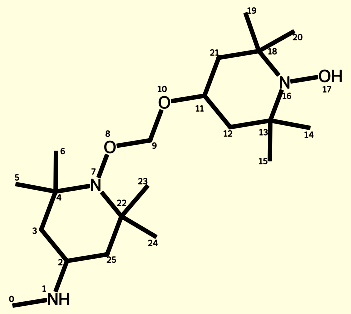 CNC1CC(C)(C)N(OCOC2CC(C)(C)N(O)C(C)(C)C2)C(C)(C)C1